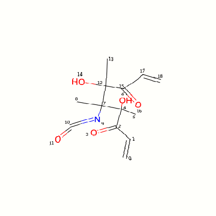 C=CC(=O)C(C)(O)C(C)(N=C=O)C(C)(O)C(=O)C=C